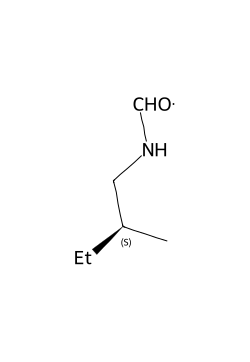 CC[C@H](C)CN[C]=O